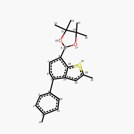 Cc1ccc(-c2ccc(B3OC(C)(C)C(C)(C)O3)c3sc(C)cc23)cc1